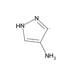 Nc1[c]n[nH]c1